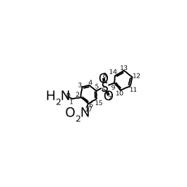 NCc1ccc(S(=O)(=O)c2ccccc2)cc1[N+](=O)[O-]